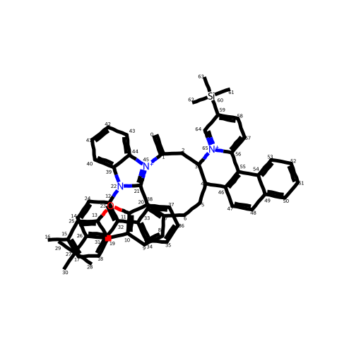 C=C1CC2C(CCc3ccc4c(oc5cc(C)ccc54)c3-c3n(-c4ccc(C(C)(C)C)cc4-c4ccccc4)c4ccccc4[n+]31)c1ccc3ccccc3c1-c1ccc([Si](C)(C)C)c[n+]12